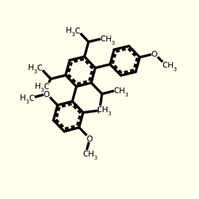 COc1ccc(-c2c(C(C)C)cc(C(C)C)c(-c3c(OC)ccc(OC)c3I)c2C(C)C)cc1